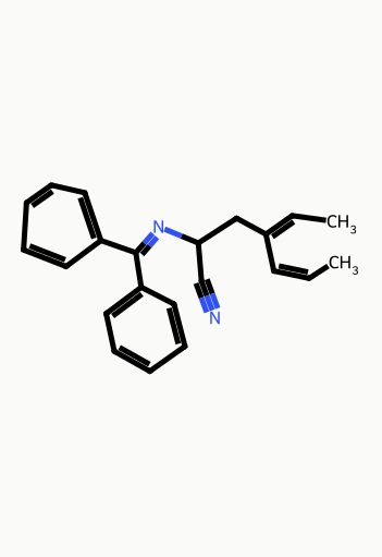 C/C=C\C(=C/C)CC(C#N)N=C(c1ccccc1)c1ccccc1